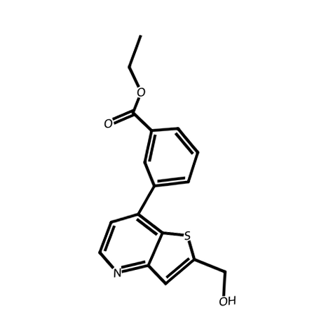 CCOC(=O)c1cccc(-c2ccnc3cc(CO)sc23)c1